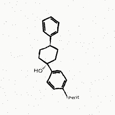 CCCCCc1ccc([C@]2(O)CC[C@H](c3ccccc3)CC2)cc1